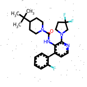 CC(C)(C)C1CCN(C(=O)Nc2c(-c3ccccc3F)ccnc2N2CCC(F)(F)C2)CC1